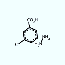 NN.O=C(O)c1cccc(Cl)c1